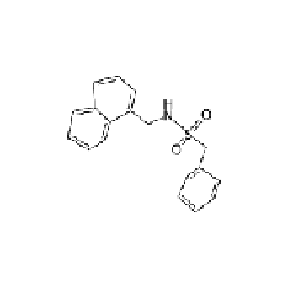 O=S(=O)(Cc1ccccc1)NCc1cccc2ccccc12